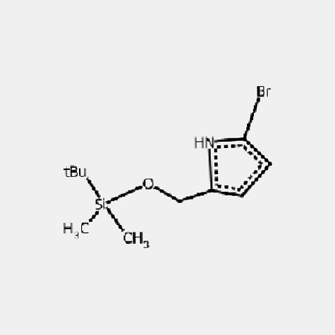 CC(C)(C)[Si](C)(C)OCc1ccc(Br)[nH]1